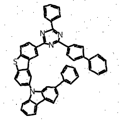 c1ccc(-c2ccc(-c3nc(-c4ccccc4)nc(-c4ccc5sc6ccc(-n7c8ccccc8c8ccc(-c9ccccc9)cc87)cc6c5c4)n3)cc2)cc1